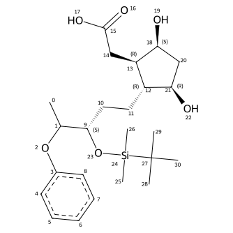 CC(Oc1ccccc1)[C@H](CC[C@@H]1[C@@H](CC(=O)O)[C@@H](O)C[C@H]1O)O[Si](C)(C)C(C)(C)C